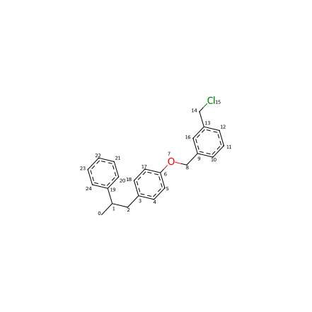 CC(Cc1ccc(OCc2cccc(CCl)c2)cc1)c1ccccc1